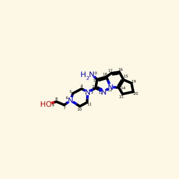 Nc1c(N2CCN(CCO)CC2)nn2c3c(ccc12)CCC3